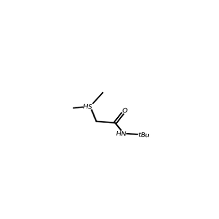 C[SH](C)CC(=O)NC(C)(C)C